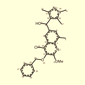 COc1nc2c(C)cc(C(O)c3c(C)nn(C)c3C)cc2c(Cl)c1OCc1ccccc1